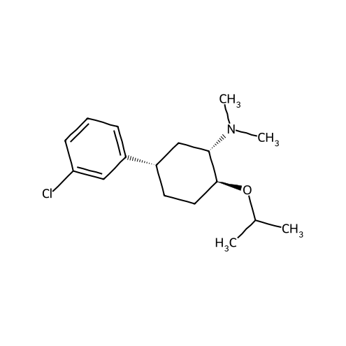 CC(C)O[C@H]1CC[C@H](c2cccc(Cl)c2)C[C@@H]1N(C)C